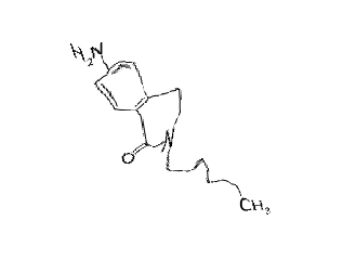 CCCCCN1CCc2cc(N)ccc2C1=O